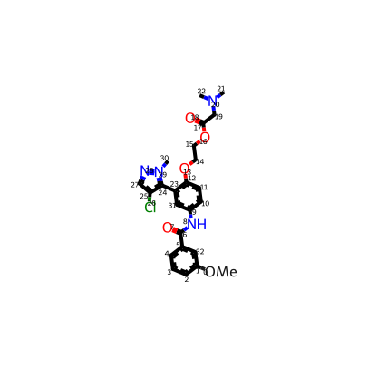 COc1cccc(C(=O)Nc2ccc(OCCOC(=O)CN(C)C)c(-c3c(Cl)cnn3C)c2)c1